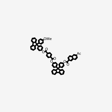 COc1ccc(C2(c3ccc(OC(=O)c4ccc(C(=O)Oc5ccc(C6(c7ccc(OC(=O)c8ccc9cc(C(C)=O)ccc9c8)cc7)c7ccccc7-c7ccccc76)cc5)cc4)cc3)c3ccccc3-c3ccccc32)cc1